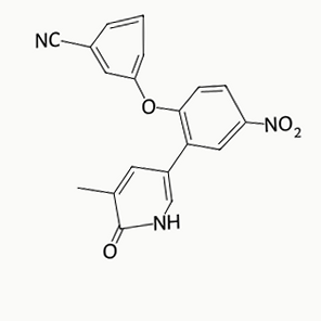 Cc1cc(-c2cc([N+](=O)[O-])ccc2Oc2cccc(C#N)c2)c[nH]c1=O